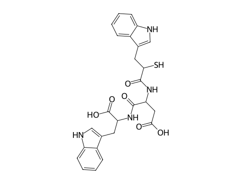 O=C(O)CC(NC(=O)C(S)Cc1c[nH]c2ccccc12)C(=O)NC(Cc1c[nH]c2ccccc12)C(=O)O